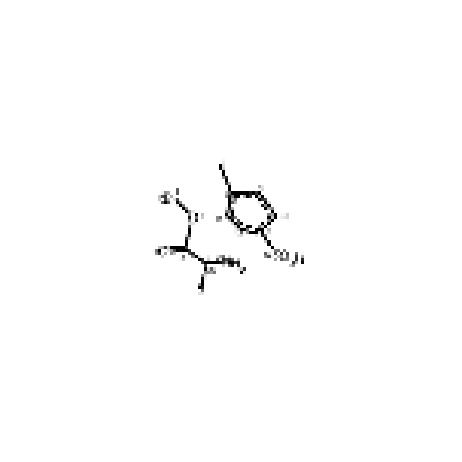 C[C@H](N)C(=O)OC(C)(C)C.Cc1ccc(S(=O)(=O)O)cc1